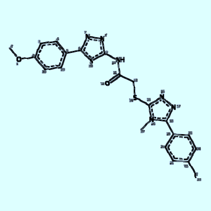 COc1ccc(-c2nnc(NC(=O)CSc3nnc(-c4ccc(F)cc4)n3C)s2)cc1